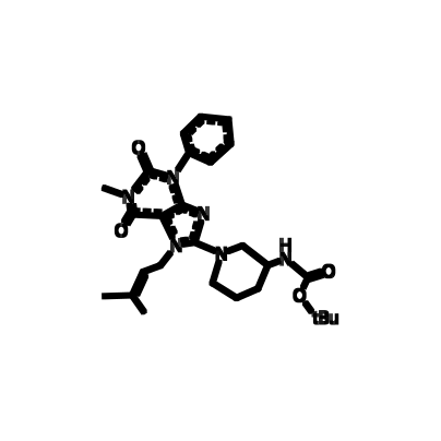 CC(C)=CCn1c(N2CCCC(NC(=O)OC(C)(C)C)C2)nc2c1c(=O)n(C)c(=O)n2-c1ccccc1